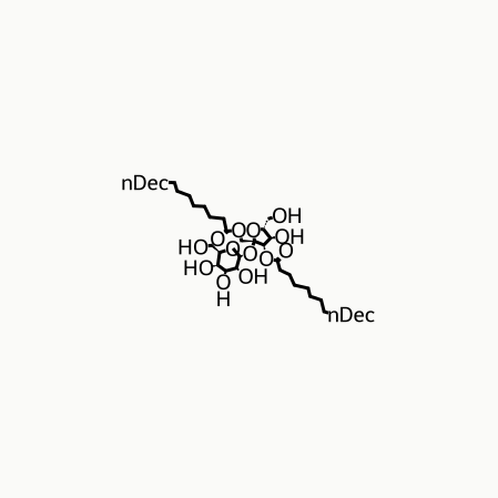 CCCCCCCCCCCCCCCCCC(=O)OC[C@@]1(O[C@H]2O[C@H](CO)[C@@H](O)[C@H](O)[C@H]2O)O[C@H](CO)[C@@H](O)[C@@H]1OC(=O)CCCCCCCCCCCCCCCCC